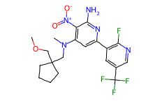 COCC1(CN(C)c2cc(-c3cc(C(F)(F)F)cnc3F)nc(N)c2[N+](=O)[O-])CCCC1